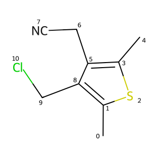 Cc1sc(C)c(CC#N)c1CCl